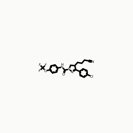 N#CCCCC1CN(C(=O)Nc2ccc(OC(F)(F)F)cc2)N=C1c1ccc(Cl)cc1